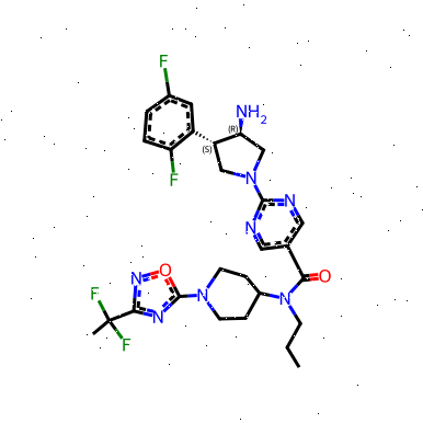 CCCN(C(=O)c1cnc(N2C[C@H](c3cc(F)ccc3F)[C@@H](N)C2)nc1)C1CCN(c2nc(C(C)(F)F)no2)CC1